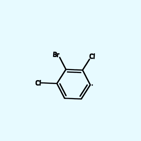 Clc1[c]ccc(Cl)c1Br